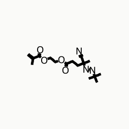 C=C(C)C(=O)OCCOC(=O)CCC(C)(C#N)N=NC(C)(C)C